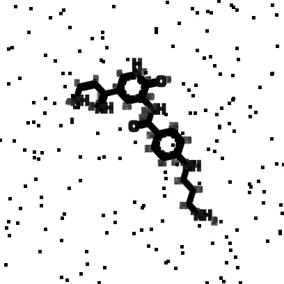 N=C(/C=C\N)c1c[nH]c(=O)c(NC(=O)c2ccc(NCCCN)cc2)c1